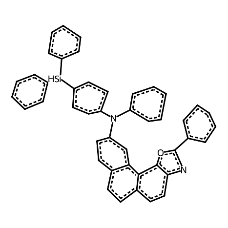 c1ccc(-c2nc3ccc4ccc5ccc(N(c6ccccc6)c6ccc([SiH](c7ccccc7)c7ccccc7)cc6)cc5c4c3o2)cc1